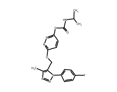 Cc1nnn(-c2ccc(F)cc2)c1COc1ccc(OC(=O)NC(C)C)nn1